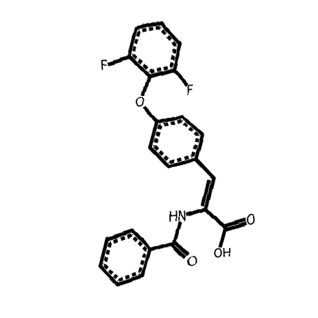 O=C(O)C(=Cc1ccc(Oc2c(F)cccc2F)cc1)NC(=O)c1ccccc1